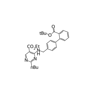 CCCCc1ncc(C(=O)OCC)c(NCc2ccc(-c3ccccc3C(=O)OC(C)(C)C)cc2)n1